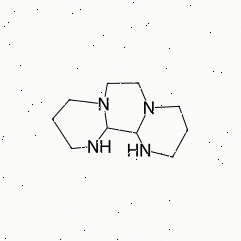 C1CNC2C3NCCCN3CCN2C1